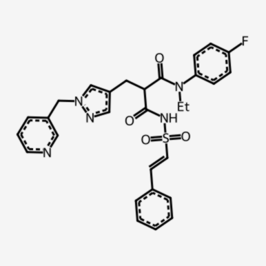 CCN(C(=O)C(Cc1cnn(Cc2cccnc2)c1)C(=O)NS(=O)(=O)C=Cc1ccccc1)c1ccc(F)cc1